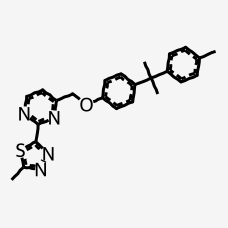 Cc1ccc(C(C)(C)c2ccc(OCc3ccnc(-c4nnc(C)s4)n3)cc2)cc1